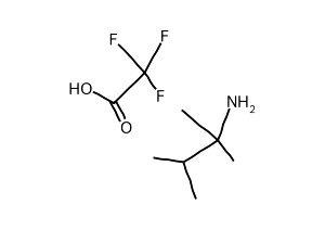 CC(C)C(C)(C)N.O=C(O)C(F)(F)F